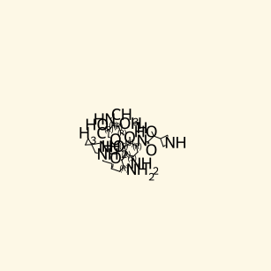 CN[C@@H]1[C@@H](O)[C@@H](O[C@@H]2[C@@H](O)[C@H](C3OC(CNCC4(CN)CC4)=CC[C@H]3N)[C@@H](N)C[C@H]2NC(=O)C(O)C2CNC2)OC[C@]1(C)O